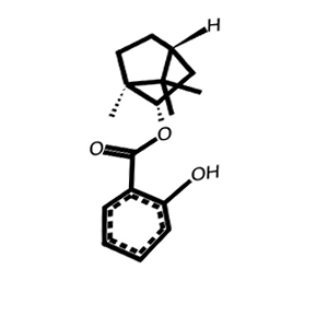 CC1(C)[C@@H]2CC[C@]1(C)[C@@H](OC(=O)c1ccccc1O)C2